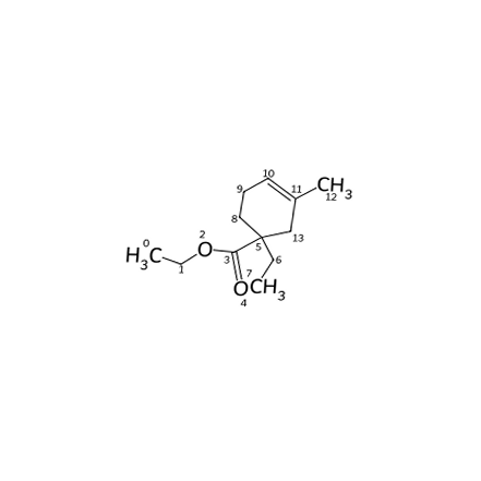 CCOC(=O)C1(CC)CCC=C(C)C1